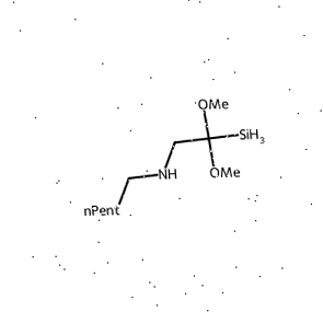 CCCCCCNCC([SiH3])(OC)OC